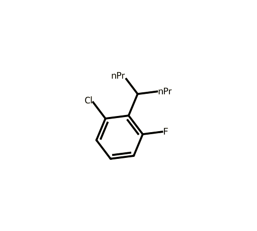 CCCC(CCC)c1c(F)cccc1Cl